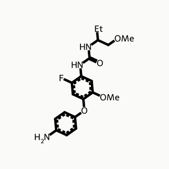 CCC(COC)NC(=O)Nc1cc(OC)c(Oc2ccc(N)cc2)cc1F